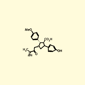 CCCN(C)C(=O)CN1CC(c2ccc(O)cc2)[C@H](C(=O)O)[C@H]1c1ccc(OC)cc1